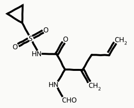 C=CCC(=C)C(NC=O)C(=O)NS(=O)(=O)C1CC1